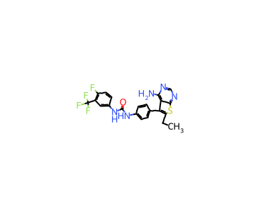 CCc1sc2ncnc(N)c2c1-c1ccc(NC(=O)Nc2ccc(F)c(C(F)(F)F)c2)cc1